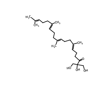 CC(C)=CCCC(C)=CCCC(C)=CCCC(C)=CCCC(=O)C(O)(CO)CO